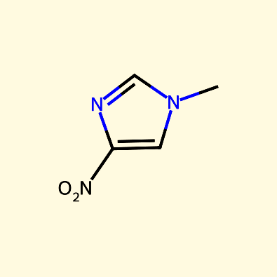 Cn1cnc([N+](=O)[O-])c1